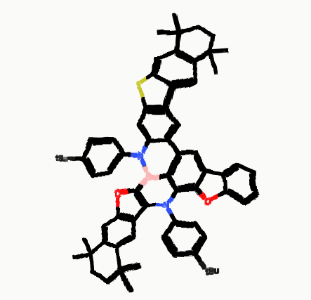 CC(C)(C)c1ccc(N2B3c4oc5cc6c(cc5c4N(c4ccc(C(C)(C)C)cc4)c4c3c(cc3c4oc4ccccc43)-c3cc4c(cc32)sc2cc3c(cc24)C(C)(C)CCC3(C)C)C(C)(C)CCC6(C)C)cc1